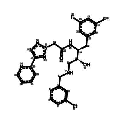 CCc1cccc(CNC[C@@H](O)[C@H](Cc2cc(F)cc(F)c2)NC(=O)Cn2nnc(-c3ccccn3)n2)c1